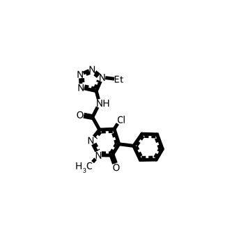 CCn1nnnc1NC(=O)c1nn(C)c(=O)c(-c2ccccc2)c1Cl